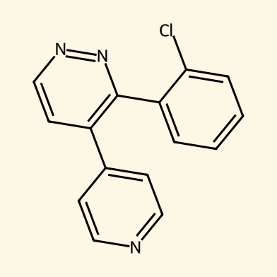 Clc1ccccc1-c1nnccc1-c1ccncc1